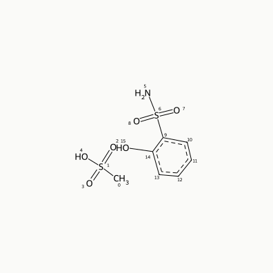 CS(=O)(=O)O.NS(=O)(=O)c1ccccc1O